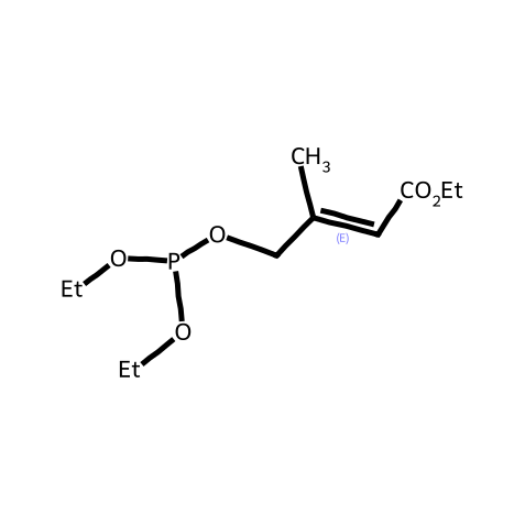 CCOC(=O)/C=C(\C)COP(OCC)OCC